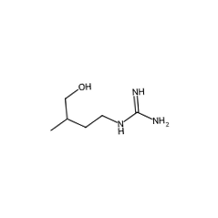 CC(CO)CCNC(=N)N